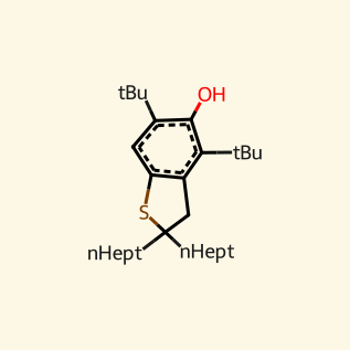 CCCCCCCC1(CCCCCCC)Cc2c(cc(C(C)(C)C)c(O)c2C(C)(C)C)S1